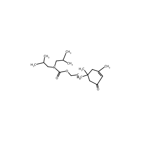 CC1=CC(=O)CC(C)(C)C1.CCOC(=O)N(CC(C)C)CC(C)C